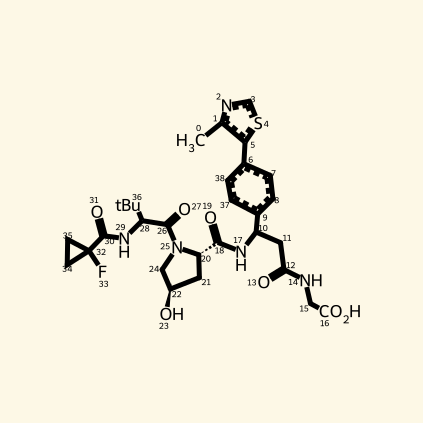 Cc1ncsc1-c1ccc(C(CC(=O)NCC(=O)O)NC(=O)[C@@H]2C[C@@H](O)CN2C(=O)C(NC(=O)C2(F)CC2)C(C)(C)C)cc1